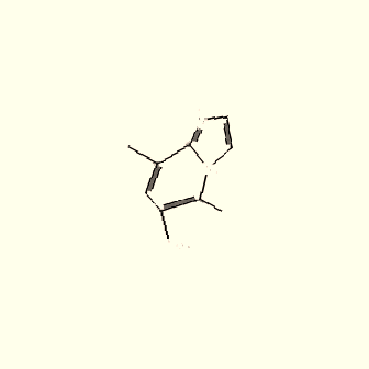 COc1cc(C)c2nccn2c1C